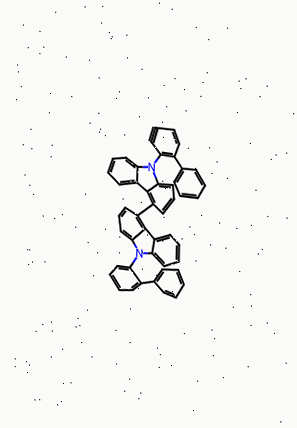 c1ccc(-c2ccccc2)c(-n2c3ccccc3c3c(-c4cccc5c4c4ccccc4n5-c4ccccc4-c4ccccc4)cccc32)c#1